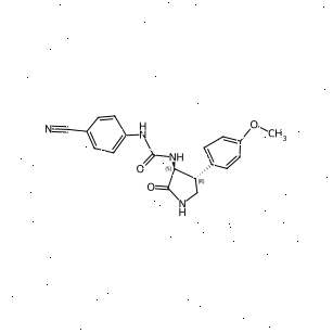 COc1ccc([C@@H]2CNC(=O)[C@H]2NC(=O)Nc2ccc(C#N)cc2)cc1